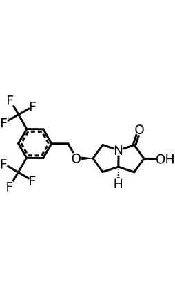 O=C1C(O)C[C@H]2C[C@@H](OCc3cc(C(F)(F)F)cc(C(F)(F)F)c3)CN12